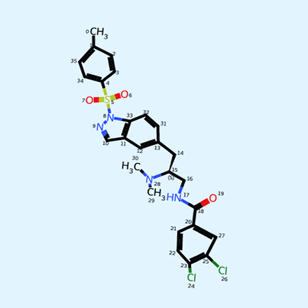 Cc1ccc(S(=O)(=O)n2ncc3cc(C[C@@H](CNC(=O)c4ccc(Cl)c(Cl)c4)N(C)C)ccc32)cc1